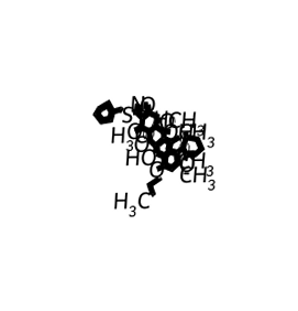 CCCCOc1cc(OC)c2c3c(c4c(c(O)c13)C(=O)[C@]1(C)C(=O)c3c(SCc5ccccc5)noc3C[C@@H]1C4(O)OC)C[C@]21C(C)=CCCC1C